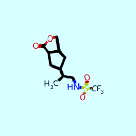 CC(CNS(=O)(=O)C(F)(F)F)C1CC2COC(=O)C2C1